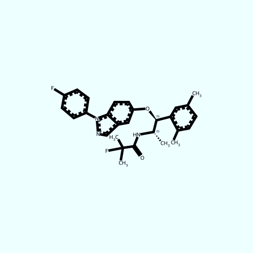 Cc1ccc(C)c([C@H](Oc2ccc3c(cnn3-c3ccc(F)cc3)c2)[C@H](C)NC(=O)C(C)(C)F)c1